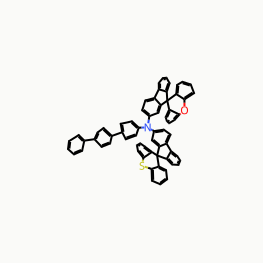 c1ccc(-c2ccc(-c3ccc(N(c4ccc5c(c4)C4(c6ccccc6Oc6ccccc64)c4ccccc4-5)c4ccc5c(c4)C4(c6ccccc6Sc6ccccc64)c4ccccc4-5)cc3)cc2)cc1